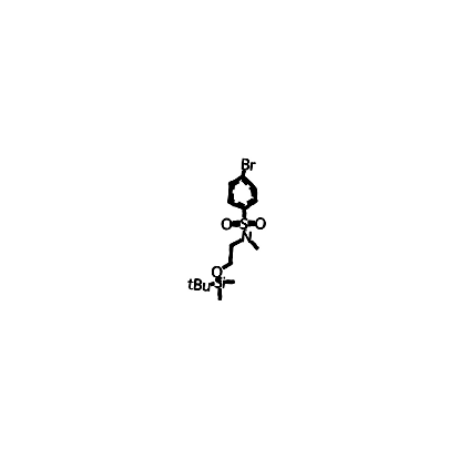 CN(CCO[Si](C)(C)C(C)(C)C)S(=O)(=O)c1ccc(Br)cc1